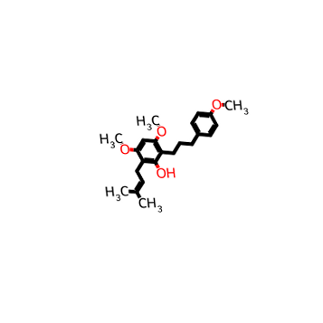 COc1ccc(CCCc2c(OC)cc(OC)c(CC=C(C)C)c2O)cc1